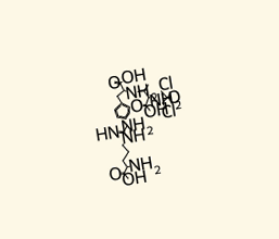 CC(C)C(N)C(=O)O.N=C(N)NCCCC(N)C(=O)O.NC(Cc1ccccc1)C(=O)O.O=C(CCl)CCl